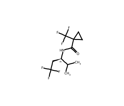 CC(C)[C@@H](CC(F)(F)F)NC(=O)C1(C(F)(F)F)CC1